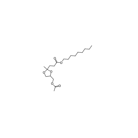 CCCCCCCCCOC(=O)CCC1(C)OCC(COC(C)=O)O1